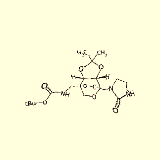 CC(C)(C)OC(=O)NC[C@@]12COC(N3CCNC3=O)(CO1)[C@H]1OC(C)(C)O[C@H]12